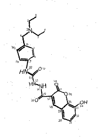 CCN(CC)Cc1ccc(NC(=O)NNC(=O)c2cc3cccc(O)c3oc2=O)cc1